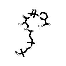 BC(CNC(=O)CCC(C)(C)OCCC(C)(C)OC)C(=O)SC(C)(N)C(C)(C)N1CCCC(C(N)=O)C1